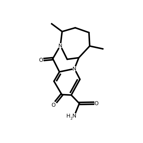 CC1CCC(C)N2CC1n1cc(C(N)=O)c(=O)cc1C2=O